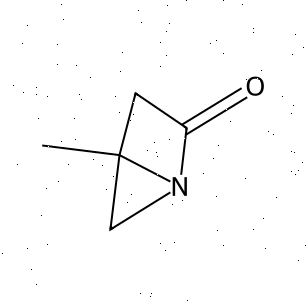 CC12CC(=O)N1C2